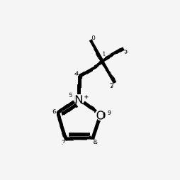 CC(C)(C)C[n+]1ccco1